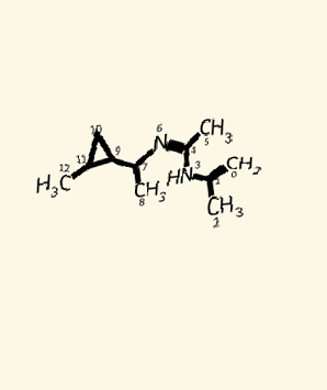 C=C(C)N/C(C)=N\C(C)C1CC1C